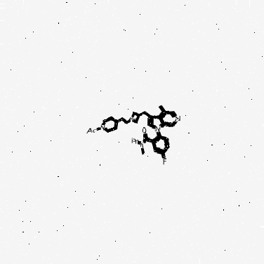 CC(=O)N1CCC(CCN2CC(Cc3cn(-c4ccc(F)cc4C(=O)N(C)C(C)C)c4cncc(C)c34)C2)CC1